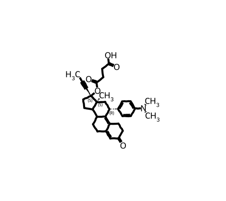 CC#C[C@]1(OC(=O)CCC(=O)O)CCC2C3CCC4=CC(=O)CCC4=C3[C@@H](c3ccc(N(C)C)cc3)C[C@@]21C